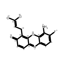 Nc1c(F)ccc2nc3ccc(=O)c(CC=C(Cl)Cl)c-3oc12